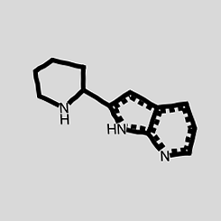 c1cnc2[nH]c(C3CCCCN3)cc2c1